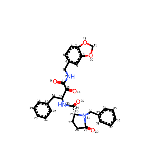 O=C(NCc1ccc2c(c1)OCO2)C(=O)C(Cc1ccccc1)NC(=O)[C@H]1CCC(=O)N1Cc1ccccc1